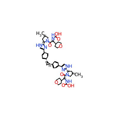 C[C@H]1C[C@@H](c2nc(-c3ccc([C@H]4C[C@@H]4c4ccc(-c5c[nH]c([C@@H]6C[C@H](C)CN6C(=O)[C@@H](NC(=O)O)C6CCOCC6)n5)cc4)cc3)c[nH]2)N(C(=O)[C@@H](NC(=O)O)C2CCOCC2)C1